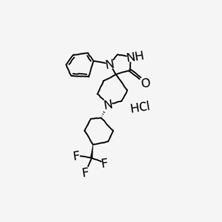 Cl.O=C1NCN(c2ccccc2)C12CCN([C@H]1CC[C@H](C(F)(F)F)CC1)CC2